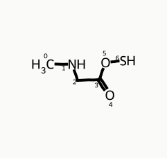 CNCC(=O)OS